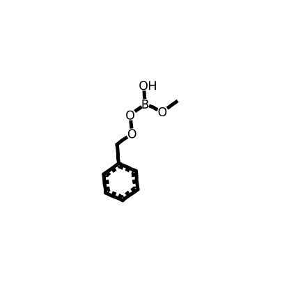 COB(O)OOCc1ccccc1